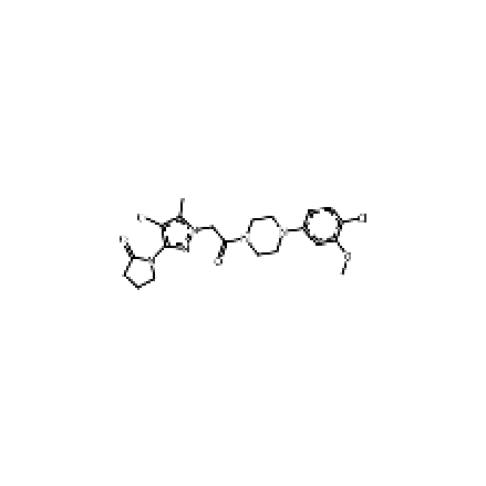 COc1cc(N2CCN(C(=O)Cn3nc(N4CCCC4=O)c(Cl)c3C)CC2)ccc1Cl